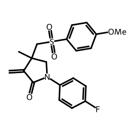 C=C1C(=O)N(c2ccc(F)cc2)CC1(C)CS(=O)(=O)c1ccc(OC)cc1